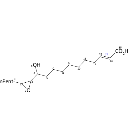 CCCCCC1OC1C(O)CCCCCCC/C=C/C(=O)O